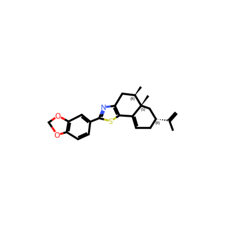 C=C(C)[C@@H]1CC=C2c3sc(-c4ccc5c(c4)OCO5)nc3C[C@@H](C)[C@]2(C)C1